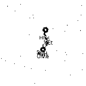 CCC(COc1ccc(NC(=O)OC)cc1)OC(=S)NCCc1ccccc1